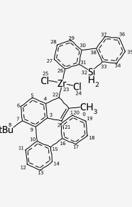 CC1=Cc2c(ccc(C(C)(C)C)c2-c2ccccc2-c2ccccc2)[CH]1[Zr]([Cl])([Cl])[c]1cccc2c1[SiH2]c1ccccc1-2